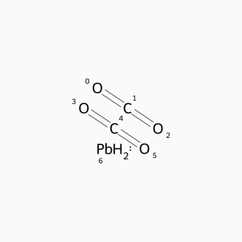 O=C=O.O=C=O.[PbH2]